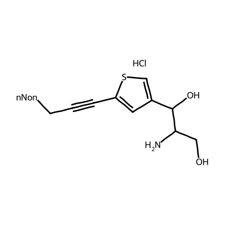 CCCCCCCCCCC#Cc1cc(C(O)C(N)CO)cs1.Cl